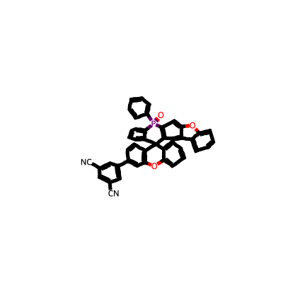 N#Cc1cc(C#N)cc(-c2ccc3c(c2)Oc2ccccc2C32c3ccccc3P(=O)(c3ccccc3)c3cc4oc5ccccc5c4cc32)c1